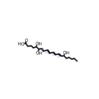 CCCCCC(O)/C=C/C=C/C=C/C=C/C(O)C(O)CCCC(=O)O